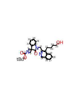 CC(C)(C)OC(=O)N1CC2(C1)C(=O)N(Cc1ncc3ccccc3c1CCCCO)c1ccccc12